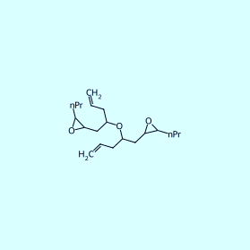 C=CCC(CC1OC1CCC)OC(CC=C)CC1OC1CCC